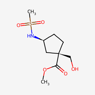 COC(=O)[C@@]1(CO)CC[C@H](NS(C)(=O)=O)C1